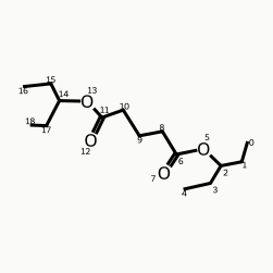 CCC(CC)OC(=O)CCCC(=O)OC(CC)CC